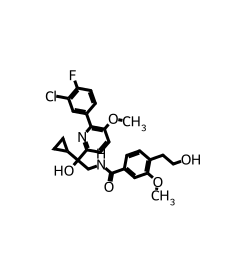 COc1cc(C(=O)NCC(O)(c2ccc(OC)c(-c3ccc(F)c(Cl)c3)n2)C2CC2)ccc1CCO